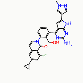 Cn1cc(-c2cc3c(-c4cccc(-n5ccc6cc(C7CC7)cc(F)c6c5=O)c4CO)nc(N)nc3[nH]2)cn1